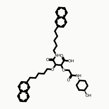 O=C(COC(C(=O)O)C(OCCCCCc1ccc2ccccc2c1)C(=O)NCCCCCc1ccc2ccccc2c1)N[C@H]1CC[C@H](O)CC1